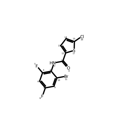 O=C(Nc1c(F)cc(F)cc1Br)c1ccc(Cl)s1